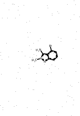 Cn1nc2cccc(Br)c2c1N